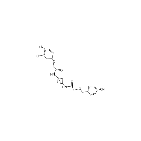 N#Cc1ccc(COCC(=O)NC23CC(NC(=O)COc4ccc(Cl)c(Cl)c4)(C2)C3)cc1